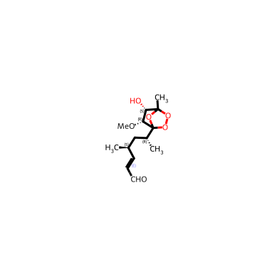 CO[C@@H]1[C@H](O)C2(C)OOC1([C@H](C)C[C@H](C)/C=C/C=O)O2